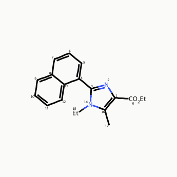 CCOC(=O)c1nc(-c2cccc3ccccc23)n(CC)c1C